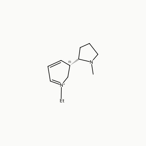 CC[N+]1=CC=C[C@H](C2CCCN2C)C1